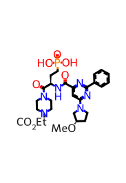 CCOC(=O)N1CCN(C(=O)[C@@H](CCP(=O)(O)O)NC(=O)c2cc(N3CC[C@H](OC)C3)nc(-c3ccccc3)n2)CC1